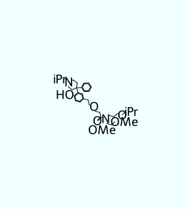 COC(CN(CCCOC(C)C)C(=O)CCOCCc1ccc(O)c(C2(c3ccccc3)CCN(C(C)C)CC2)c1)OC